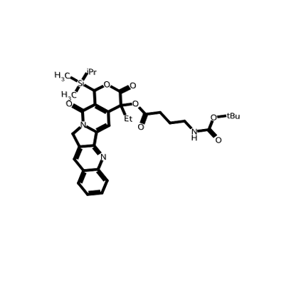 CCC1(OC(=O)CCCNC(=O)OC(C)(C)C)C(=O)OC([Si](C)(C)C(C)C)c2c1cc1n(c2=O)Cc2cc3ccccc3nc2-1